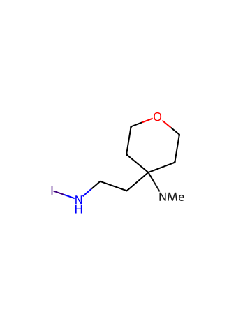 CNC1(CCNI)CCOCC1